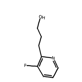 OCCCc1ncc[c]c1F